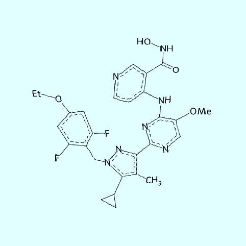 CCOc1cc(F)c(Cn2nc(-c3ncc(OC)c(Nc4ccncc4C(=O)NO)n3)c(C)c2C2CC2)c(F)c1